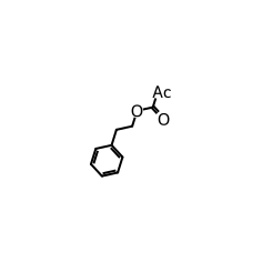 CC(=O)C(=O)OCCc1ccccc1